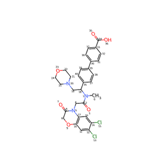 CN(C(=O)CN1C(=O)COc2cc(Cl)c(Cl)cc21)C(CN1CCOCC1)c1ccc(-c2ccc(C(=O)O)cc2)cc1